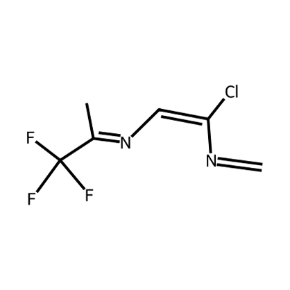 C=N/C(Cl)=C\N=C(/C)C(F)(F)F